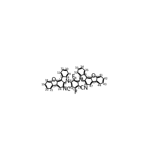 N#Cc1c(F)c(C#N)c(-n2c3ccccc3c3c4oc5ccccc5c4ccc32)c(F)c1-n1c2ccccc2c2c3oc4ccccc4c3ccc21